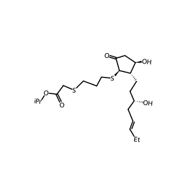 CCC=CC[C@@H](O)CC[C@H]1[C@H](O)CC(=O)[C@@H]1SCCCSCC(=O)OC(C)C